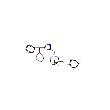 O[C@](c1ccccc1)(c1ncc(C[N+]23CCC(CC2)[C@H](CSc2ccc(Cl)cc2)C3)o1)C1CCCCC1